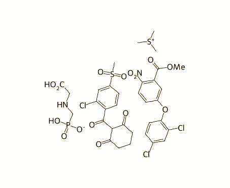 COC(=O)c1cc(Oc2ccc(Cl)cc2Cl)ccc1[N+](=O)[O-].CS(=O)(=O)c1ccc(C(=O)C2C(=O)CCCC2=O)c(Cl)c1.C[S+](C)C.O=C(O)CNCP(=O)([O-])O